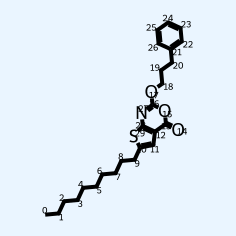 CCCCCCCCCCc1cc2c(=O)oc(OCCCc3ccccc3)nc2s1